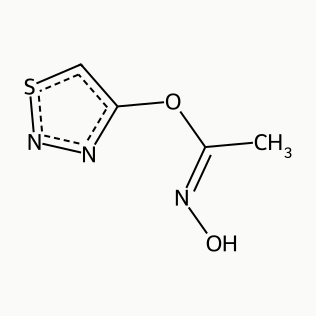 CC(=NO)Oc1csnn1